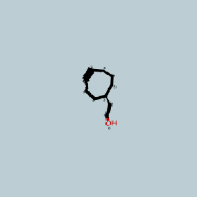 OCC[C@H]1CCC#CCCC1